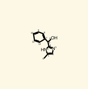 Cc1cnc(C(O)c2ccccc2)[nH]1